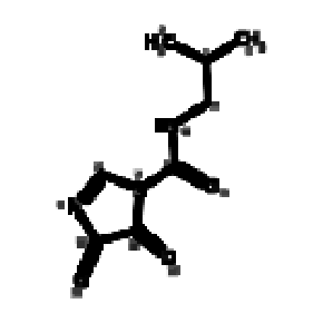 CC(C)CNC(=O)N1C=NC(=O)C1=O